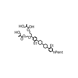 C=C(CO)C(=O)OCCOC(CCCOC(O)C(=C)CO)c1ccc(C2CCC(C3CCC(c4ccc(CCCCC)cc4CC)CC3)CC2)c(CC)c1